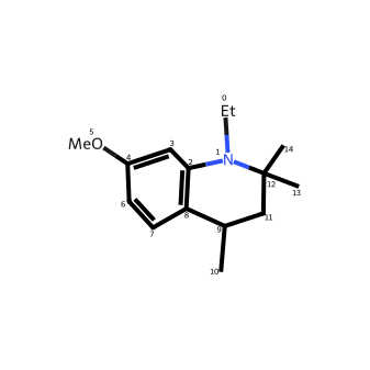 CCN1c2cc(OC)ccc2C(C)CC1(C)C